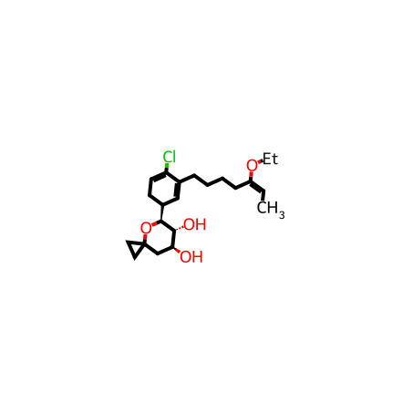 C/C=C(\CCCCC1=CC([C@@H]2OC3(CC3)C[C@H](O)[C@H]2O)CC=C1Cl)OCC